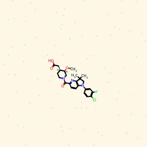 CO[C@H]1CN(C(=O)c2ccc3c(n2)C(C)(C)CN3c2ccc(Cl)c(F)c2)CC[C@H]1CC(=O)O